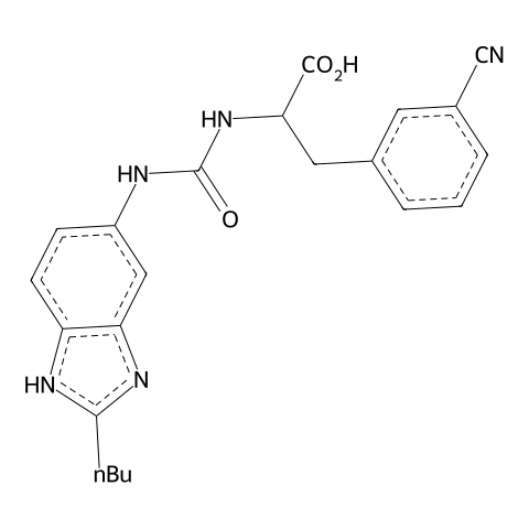 CCCCc1nc2cc(NC(=O)NC(Cc3cccc(C#N)c3)C(=O)O)ccc2[nH]1